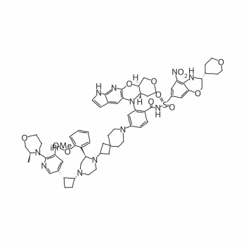 COc1cc([C@H]2CC[C@H]2N2CCN(C3CC4(CCN(c5ccc(C(=O)NS(=O)(=O)c6cc7c(c([N+](=O)[O-])c6)N[C@H](C6CCOCC6)CO7)c(N6c7cc8cc[nH]c8nc7O[C@H]7COCC[C@@H]76)c5)CC4)C3)[C@H](c3ccccc3OC(C)C)C2)cnc1N1CCOC[C@@H]1C